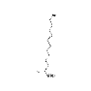 CCCCCCC(O)CCCCCCCCCCC(C)=O